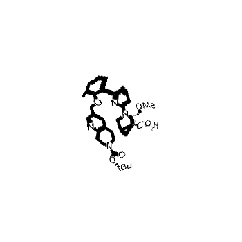 COC[C@H]1N(c2cccc(-c3cccc(C)c3OCc3cnc4c(c3)CCN(C(=O)OC(C)(C)C)CC4)n2)CC2C[C@@]21C(=O)O